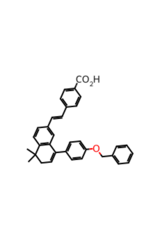 CC1(C)CC=C(c2ccc(OCc3ccccc3)cc2)c2cc(C=Cc3ccc(C(=O)O)cc3)ccc21